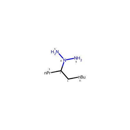 CCCCCC(CCC)N(N)N